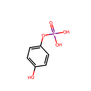 O=P(O)(O)Oc1ccc(O)cc1